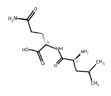 CC(C)C[C@H](N)C(=O)N[C@@H](CCC(N)=O)C(=O)O